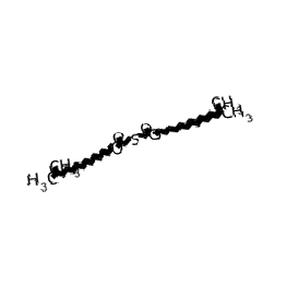 CC(C)CCCCCCCCCCCCOC(=O)CCSCCC(=O)OCCCCCCCCCCCCC(C)C